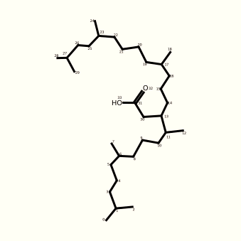 CC(C)CCCC(C)CCCC(C)C(CCCC(C)CCCCC(C)CCC(C)C)CC(=O)O